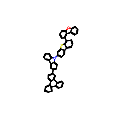 c1ccc2c(c1)oc1cccc(-c3cccc4c3sc3cc(-n5c6ccccc6c6cc(-c7ccc8c9ccccc9c9ccccc9c8c7)ccc65)ccc34)c12